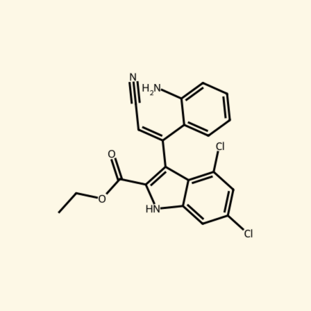 CCOC(=O)c1[nH]c2cc(Cl)cc(Cl)c2c1C(=CC#N)c1ccccc1N